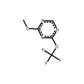 COc1ncnc(OC(F)(F)F)n1